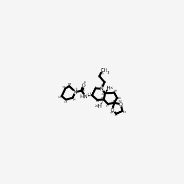 CCCN1C[C@@H](NC(=O)N2CCCCC2)C[C@@H]2CC3(CC[C@H]21)OCCO3